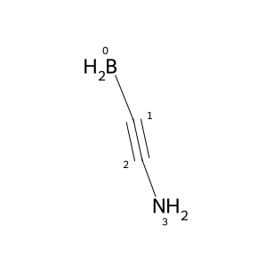 BC#CN